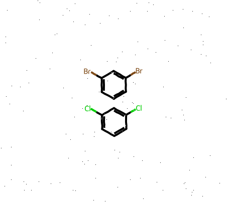 Brc1cccc(Br)c1.Clc1cccc(Cl)c1